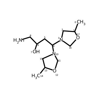 CC1CN(C(CC(O)CN)N2COC(C)C2)CO1